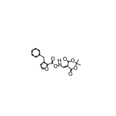 CC1(C)OC(=O)C(=CNOC(=O)c2occc2Cc2ccccc2)C(=O)O1